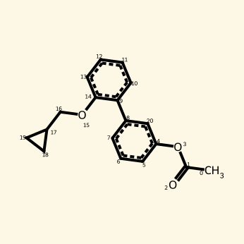 CC(=O)Oc1cccc(-c2ccc[c]c2OCC2CC2)c1